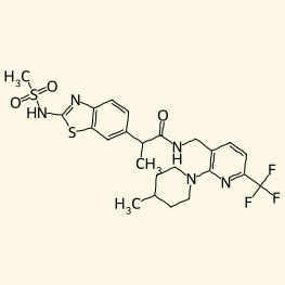 CC1CCN(c2nc(C(F)(F)F)ccc2CNC(=O)C(C)c2ccc3nc(NS(C)(=O)=O)sc3c2)CC1